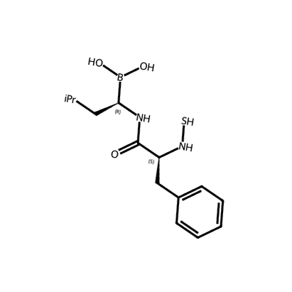 CC(C)C[C@H](NC(=O)[C@H](Cc1ccccc1)NS)B(O)O